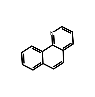 [c]1cc2cccnc2c2ccccc12